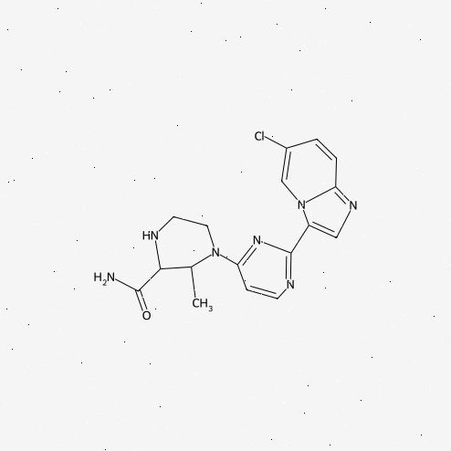 CC1C(C(N)=O)NCCN1c1ccnc(-c2cnc3ccc(Cl)cn23)n1